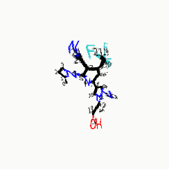 C[C@H]1CCN1c1nc(-c2cnn(CCO)c2)cc(C(F)(F)F)c1C#N